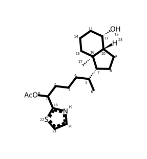 CC(=O)OC(CCCC(C)[C@H]1CC[C@H]2[C@@H](O)CCC[C@]12C)c1nccs1